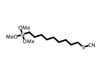 CO[Si](CCCCCCCCCSC#N)(OC)OC